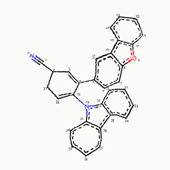 N#CC1C=C(c2ccc3oc4ccccc4c3c2)C(n2c3ccccc3c3ccccc32)=CC1